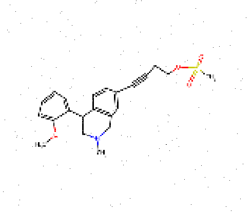 COc1ccccc1C1CN(C)Cc2cc(C#CCCOS(C)(=O)=O)ccc21